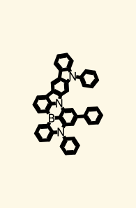 c1ccc(-c2cc3c4c(c2)-n2c5cc6c(cc5c5cccc(c52)B4c2ccccc2N3c2ccccc2)c2ccccc2n6-c2ccccc2)cc1